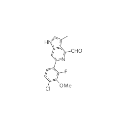 COc1c(Cl)ccc(-c2cc3[nH]cc(C)c3c(C=O)n2)c1F